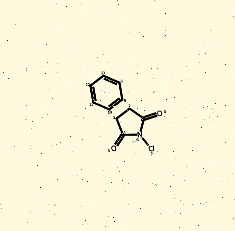 O=C1CCC(=O)N1Cl.c1ccccc1